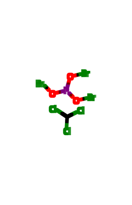 BrOP(OBr)OBr.ClC(Cl)Cl